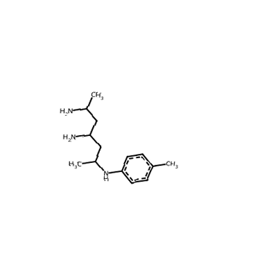 Cc1ccc(NC(C)CC(N)CC(C)N)cc1